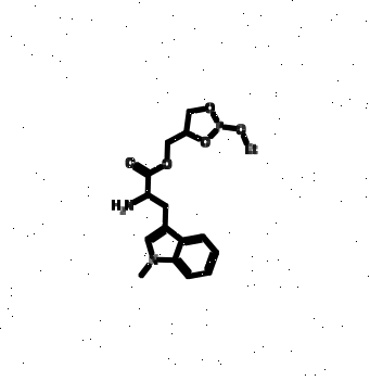 CCOP1OCC(COC(=O)C(N)Cc2cn(C)c3ccccc23)O1